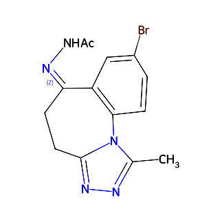 CC(=O)N/N=C1/CCc2nnc(C)n2-c2ccc(Br)cc21